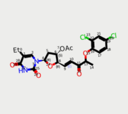 CCc1cn([C@H]2C[C@H](OC(C)=O)[C@@H](/C=C/C(=O)C(C)Oc3ccc(Cl)cc3Cl)O2)c(=O)[nH]c1=O